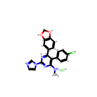 CNc1nc(-n2ccnc2)nc(-c2ccc3c(c2)OCO3)c1-c1ccc(Cl)cc1.Cl